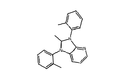 Cc1ccccc1N1c2cccnc2N(c2ccccc2C)C1C